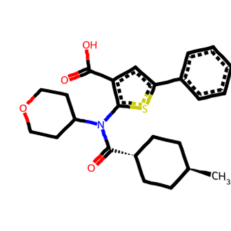 C[C@H]1CC[C@H](C(=O)N(c2sc(-c3ccccc3)cc2C(=O)O)C2CCOCC2)CC1